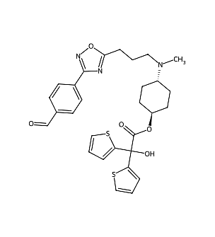 CN(CCCc1nc(-c2ccc(C=O)cc2)no1)[C@H]1CC[C@H](OC(=O)C(O)(c2cccs2)c2cccs2)CC1